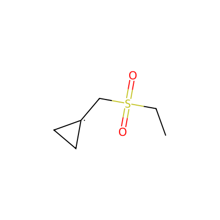 CCS(=O)(=O)C[C]1CC1